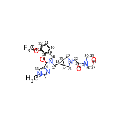 Cn1cnc(C(=O)N(Cc2cccc(OC(F)(F)F)c2)CC2C3CN(CC(=O)N4CCOCC4)CC32)c1